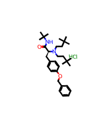 CC(C)(C)CCN(CCC(C)(C)C)[C@@H](Cc1ccc(OCc2ccccc2)cc1)C(=O)NC(C)(C)C.Cl